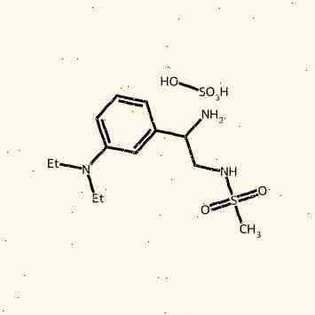 CCN(CC)c1cccc(C(N)CNS(C)(=O)=O)c1.O=S(=O)(O)O